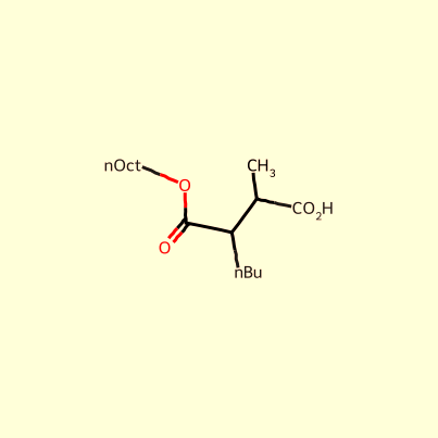 CCCCCCCCOC(=O)C(CCCC)C(C)C(=O)O